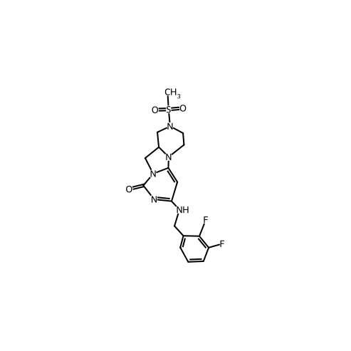 CS(=O)(=O)N1CCN2c3cc(NCc4cccc(F)c4F)nc(=O)n3CC2C1